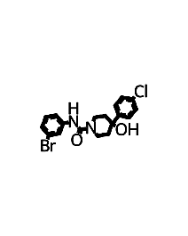 O=C(Nc1cccc(Br)c1)N1CCC(O)(c2ccc(Cl)cc2)CC1